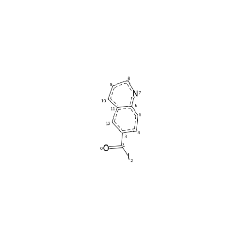 O=C(I)c1ccc2ncccc2c1